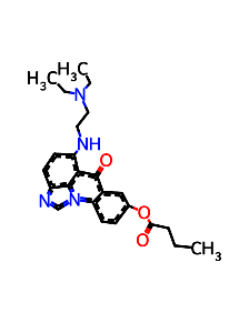 CCCC(=O)Oc1ccc2c(c1)c(=O)c1c(NCCN(CC)CC)ccc3ncn2c31